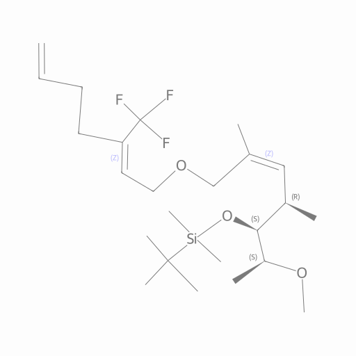 C=CCC/C(=C/COC/C(C)=C\[C@@H](C)[C@H](O[Si](C)(C)C(C)(C)C)[C@H](C)OC)C(F)(F)F